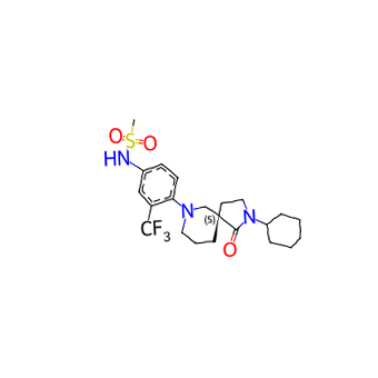 CS(=O)(=O)Nc1ccc(N2CCC[C@]3(CCN(C4CCCCC4)C3=O)C2)c(C(F)(F)F)c1